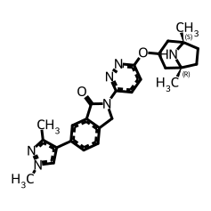 Cc1nn(C)cc1-c1ccc2c(c1)C(=O)N(c1ccc(OC3C[C@]4(C)CC[C@](C)(C3)N4)nn1)C2